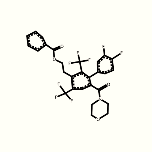 O=C(OCCc1c(C(F)(F)F)cc(C(=O)N2CCOCC2)c(-c2ccc(F)c(F)c2)c1C(F)(F)F)c1ccccc1